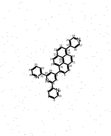 c1ccc(-c2cc(-c3ccc4ccc5c(-c6ccncc6)ccc6ccc3c4c65)cc(-c3ccccn3)n2)nc1